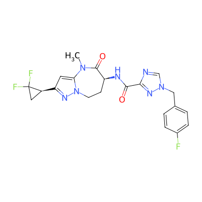 CN1C(=O)[C@@H](NC(=O)c2ncn(Cc3ccc(F)cc3)n2)CCn2nc([C@H]3CC3(F)F)cc21